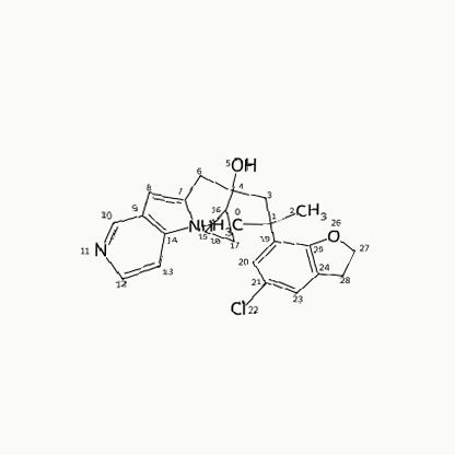 CC(C)(CC(O)(Cc1cc2cnccc2[nH]1)C1CC1)c1cc(Cl)cc2c1OCC2